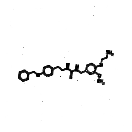 COc1cc(CNC(=S)NCCc2ccc(OCc3ccccc3)cc2)ccc1OCCN